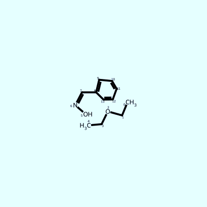 CCOCC.O/N=C\c1ccccc1